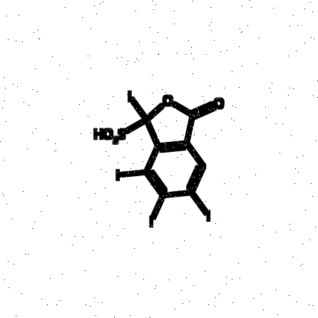 O=C1OC(I)(S(=O)(=O)O)c2c1cc(I)c(I)c2I